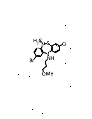 COCCCNC1c2ccc(Cl)cc2SN(C)c2ccc(Br)cc21